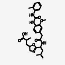 COc1cc(CC(=O)NC(CC(C)C)C2=NCC(CC(C)C(=O)O)O2)ccc1NC(=O)Nc1ccccc1C